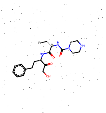 CC(C)C[C@H](NC(=O)N1CCNCC1)C(=O)NC(CCc1ccccc1)C(=O)CO